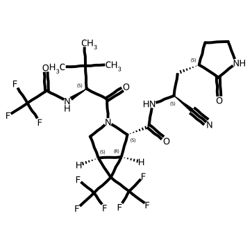 CC(C)(C)[C@H](NC(=O)C(F)(F)F)C(=O)N1C[C@H]2[C@@H]([C@H]1C(=O)N[C@H](C#N)C[C@@H]1CCNC1=O)C2(C(F)(F)F)C(F)(F)F